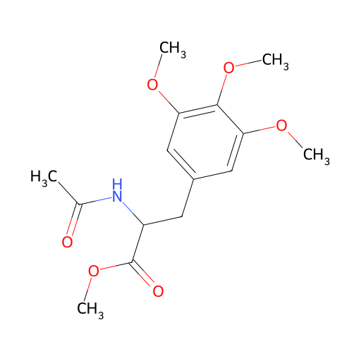 COC(=O)C(Cc1cc(OC)c(OC)c(OC)c1)NC(C)=O